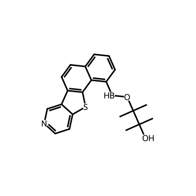 CC(C)(O)C(C)(C)OBc1cccc2ccc3c4cnccc4sc3c12